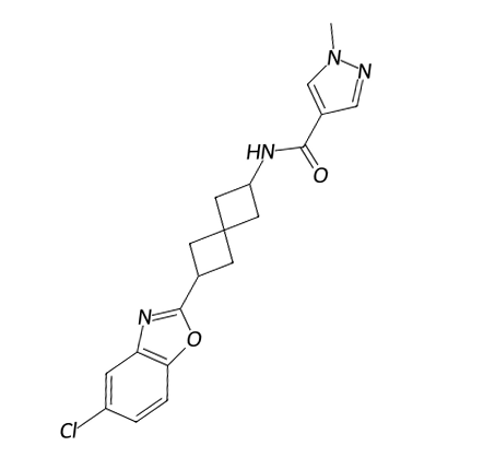 Cn1cc(C(=O)NC2CC3(C2)CC(c2nc4cc(Cl)ccc4o2)C3)cn1